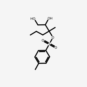 CCCC(C)(OS(=O)(=O)c1ccc(C)cc1)C(O)CO